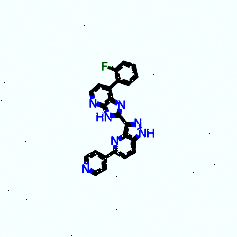 Fc1ccccc1-c1ccnc2[nH]c(-c3n[nH]c4ccc(-c5ccncc5)nc34)nc12